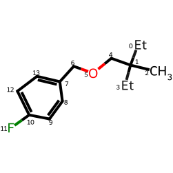 CCC(C)(CC)COCc1ccc(F)cc1